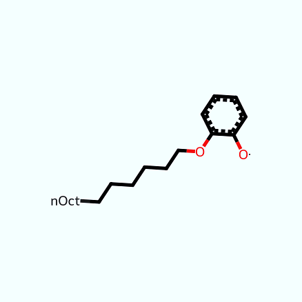 CCCCCCCCCCCCCCOc1ccccc1[O]